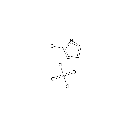 Cn1cccn1.O=S(=O)(Cl)Cl